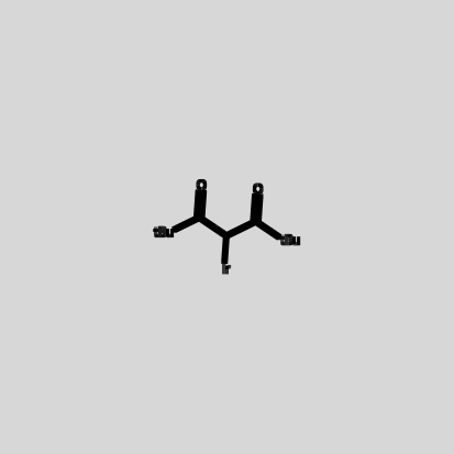 CC(C)(C)C(=O)[CH]([Ir])C(=O)C(C)(C)C